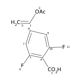 C=COC(C)=O.O=C(O)c1c(F)cccc1F